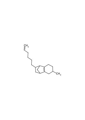 C=CCCCCC1CC2CC1C1=C2CC(C)CC1